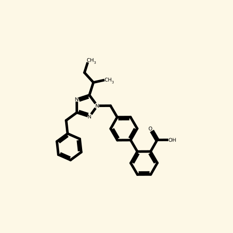 CCC(C)c1nc(Cc2ccccc2)nn1Cc1ccc(-c2ccccc2C(=O)O)cc1